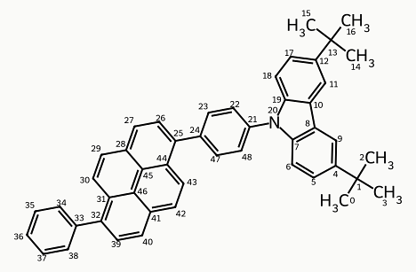 CC(C)(C)c1ccc2c(c1)c1cc(C(C)(C)C)ccc1n2-c1ccc(-c2ccc3ccc4c(-c5ccccc5)ccc5ccc2c3c54)cc1